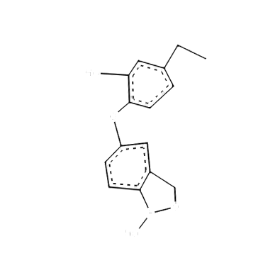 CCc1ccc(Oc2ccc3c(c2)COB3O)c(O)c1